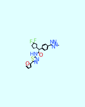 Cn1nnc(-c2ccc([C@@H](C(=O)Nc3nnc(-c4ccco4)s3)[C@H]3CCC(F)(F)C3)cc2)n1